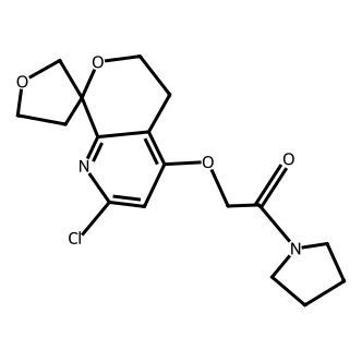 O=C(COc1cc(Cl)nc2c1CCOC21CCOC1)N1CCCC1